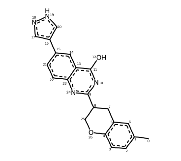 Cc1ccc2c(c1)CC(c1nc(O)c3cc(-c4cn[nH]c4)ccc3n1)CO2